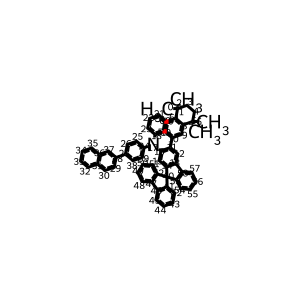 CC1(C)CCC(C)(C)c2cc(-c3cc4c(cc3N(c3ccccc3)c3ccc(-c5ccc6ccccc6c5)cc3)C3(c5ccccc5-c5ccccc53)c3ccccc3-4)ccc21